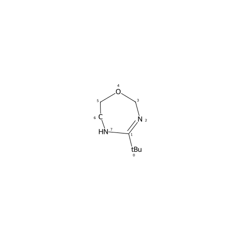 CC(C)(C)C1=NCOCCN1